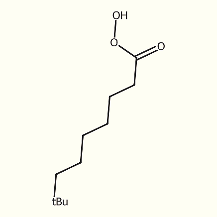 CC(C)(C)CCCCCCC(=O)OO